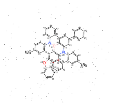 CC(C)(C)c1ccc(N2B3c4cc5oc6ccccc6c5cc4N(c4ccc(C(C)(C)C)cc4-c4ccccc4)c4cc(-c5ccccc5)cc(c43)-c3ccccc32)cc1